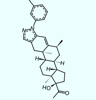 CC(=O)[C@@]1(O)CC[C@H]2[C@@H]3C[C@H](C)C4=Cc5c(cnn5-c5cccc(C)c5)C[C@]4(C)[C@H]3CC[C@@]21C